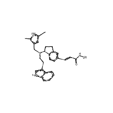 Cc1cc(CN(CCc2c[nH]c3ccccc23)C2CCc3cc(/C=C/C(=O)NO)ccc32)c(C)[nH]1